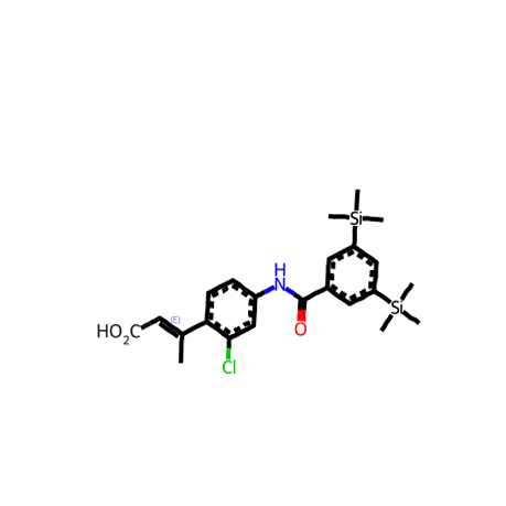 C/C(=C\C(=O)O)c1ccc(NC(=O)c2cc([Si](C)(C)C)cc([Si](C)(C)C)c2)cc1Cl